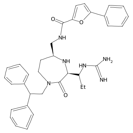 CCC(NC(=N)N)[C@@H]1N[C@H](CNC(=O)c2ccc(-c3ccccc3)o2)CCN(CC(c2ccccc2)c2ccccc2)C1=O